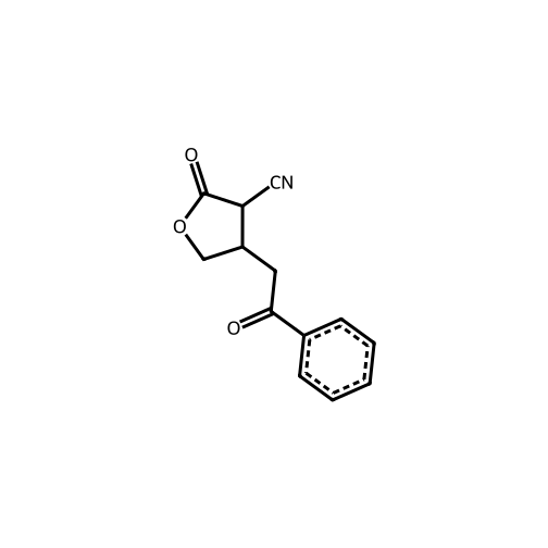 N#CC1C(=O)OCC1CC(=O)c1ccccc1